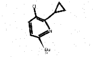 CC[C@H](C)c1ccc(Cl)c(C2CC2)n1